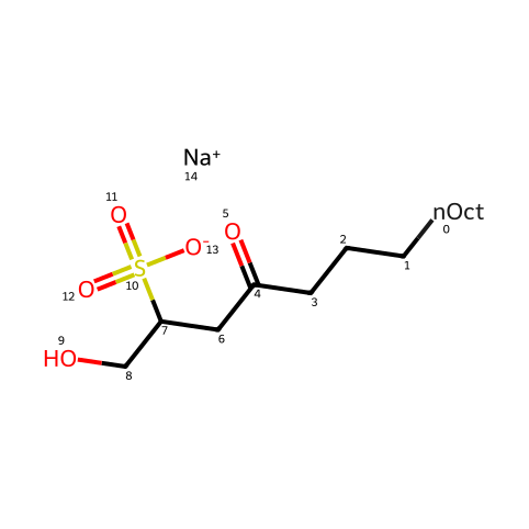 CCCCCCCCCCCC(=O)CC(CO)S(=O)(=O)[O-].[Na+]